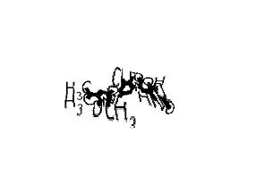 CC(C)c1cc(Oc2c(Cl)cc(N(Cc3noc(=O)[nH]3)C(=O)O)c(F)c2Cl)nn(C)c1=O